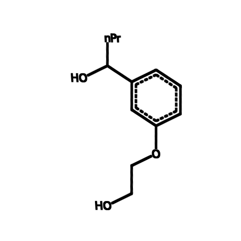 CCCC(O)c1cccc(OCCO)c1